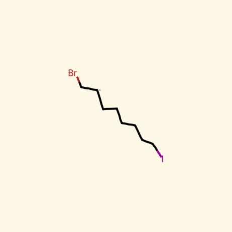 BrC[CH]CCCCCCI